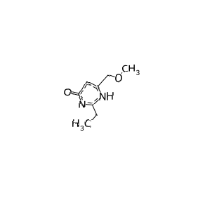 CCc1nc(=O)cc(COC)[nH]1